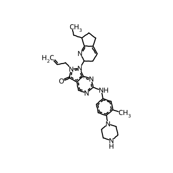 C=CCn1c(=O)c2cnc(Nc3ccc(N4CCNCC4)c(C)c3)nc2n1C1CC=C2CCC(CC)C2=N1